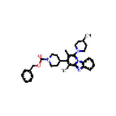 Cc1c(C2CCN(C(=O)OCc3ccccc3)CC2)c(C#N)c2nc3ccccc3n2c1N1CCC(C#N)CC1